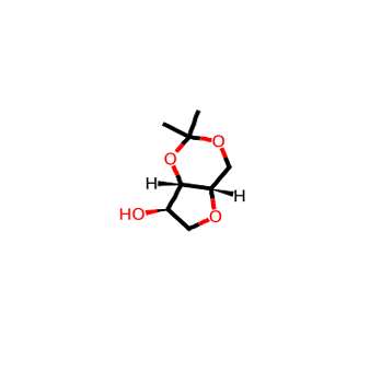 CC1(C)OC[C@@H]2OC[C@@H](O)[C@@H]2O1